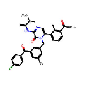 C=C(Nc1ncc(-c2cccc(C(=O)NC)c2C)n(Cc2cc(C(=O)c3ccc(F)cc3)cc(C(C)C)c2)c1=O)[C@H](C)NC